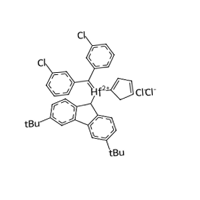 CC(C)(C)c1ccc2c(c1)-c1cc(C(C)(C)C)ccc1[CH]2[Hf+2]([C]1=CC=CC1)=[C](c1cccc(Cl)c1)c1cccc(Cl)c1.[Cl-].[Cl-]